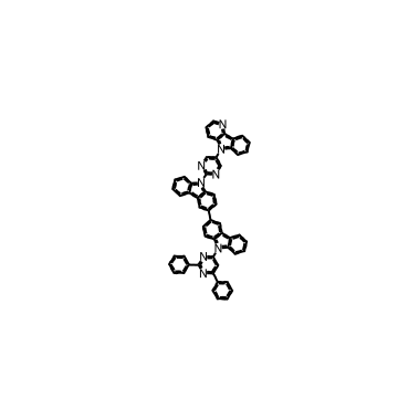 c1ccc(-c2cc(-n3c4ccccc4c4cc(-c5ccc6c(c5)c5ccccc5n6-c5ncc(-n6c7ccccc7c7ncccc76)cn5)ccc43)nc(-c3ccccc3)n2)cc1